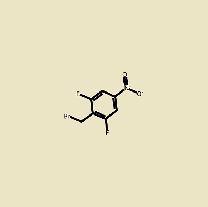 O=[N+]([O-])c1cc(F)c(CBr)c(F)c1